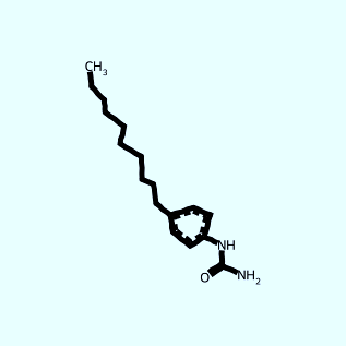 CCCCCCCCCCc1ccc(NC(N)=O)cc1